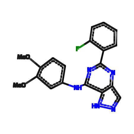 COc1ccc(Nc2nc(-c3ccccc3F)nc3cn[nH]c23)cc1OC